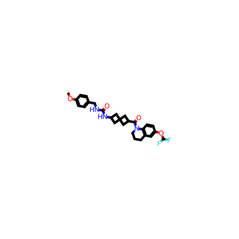 COc1ccc(CNC(=O)NC2CC3(C2)CC(C(=O)N2CCCc4cc(OC(F)F)ccc42)C3)cc1